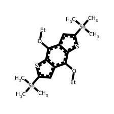 CCOc1c2c[c]([Sn]([CH3])([CH3])[CH3])sc2c(OCC)c2c[c]([Sn]([CH3])([CH3])[CH3])sc12